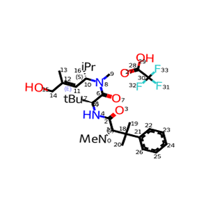 CN[C@H](C(=O)N[C@H](C(=O)N(C)[C@H](/C=C(\C)CO)C(C)C)C(C)(C)C)C(C)(C)c1ccccc1.O=C(O)C(F)(F)F